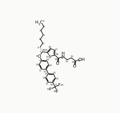 CCCCCCC[C@@H](Oc1ccc(-c2ccc(C(F)(F)F)cc2)cc1)c1ccc(C(=O)NCCC(=O)O)s1